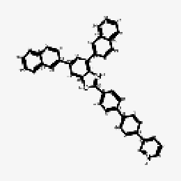 c1cncc(-c2ccc(-c3ccc(-c4nc5c(-c6ccc7ccccc7c6)cc(-c6ccc7ccccc7c6)cc5o4)cc3)cc2)c1